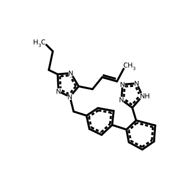 CC=CCc1nc(CCC)nn1Cc1ccc(-c2ccccc2-c2nnn[nH]2)cc1